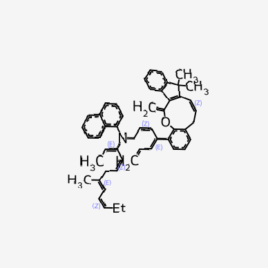 C=C/C=C(\C=C/CN(C(/C=C\C/C(C)=C/C=C\CC)=C/C)c1cccc2ccccc12)c1cccc2c1OC(=C)C1=C(/C=C\C2)C(C)(C)c2ccccc21